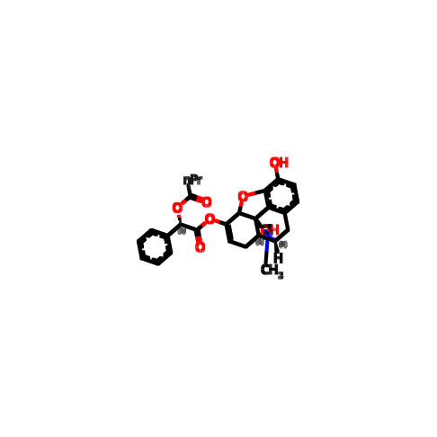 CCCC(=O)O[C@H](C(=O)OC1=CC[C@@]2(O)[C@H]3Cc4ccc(O)c5c4C2(CCN3C)C1O5)c1ccccc1